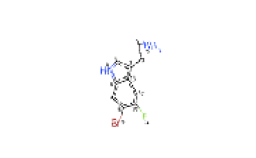 NCCc1c[nH]c2cc(Br)c(F)cc12